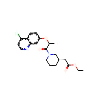 CCOC(=O)C[C@H]1CCCN(C(=O)C(C)Oc2ccc3c(Cl)ccnc3c2)C1